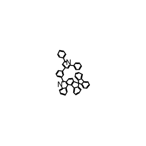 c1ccc(-c2cc(-c3cccc(-c4nc5ccccc5c5c6c(ccc45)C4(c5ccccc5-c5ccccc54)c4ccccc4-6)c3)cc(-c3ccccc3)n2)cc1